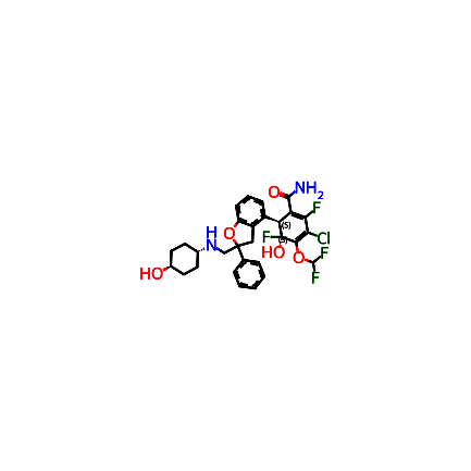 NC(=O)C1=C(F)C(Cl)=C(OC(F)F)[C@@](O)(F)[C@H]1c1cccc2c1CC(CN[C@H]1CC[C@H](O)CC1)(c1ccccc1)O2